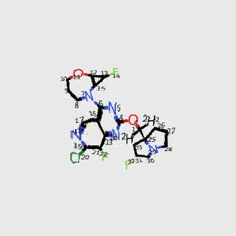 [2H]C([2H])(Oc1nc(N2CCCOC3C(F)C32)c2cnc(Cl)c(F)c2n1)[C@@]12CCCN1C[C@H](F)C2